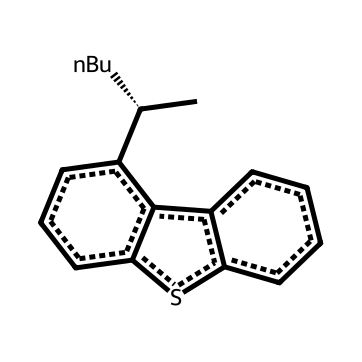 CCCC[C@H](C)c1cccc2sc3ccccc3c12